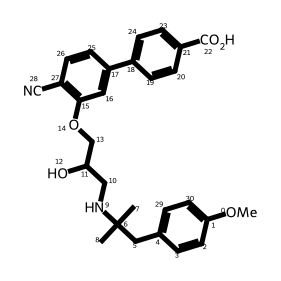 COc1ccc(CC(C)(C)NCC(O)COc2cc(-c3ccc(C(=O)O)cc3)ccc2C#N)cc1